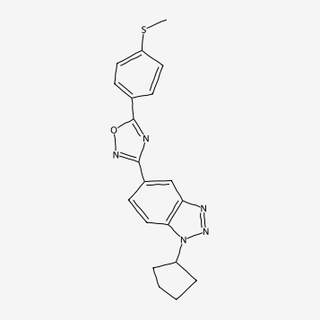 CSc1ccc(-c2nc(-c3ccc4c(c3)nnn4C3CCCC3)no2)cc1